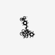 CC1(C)O[C@H](c2ccccc2)[C@@](CCC=Cc2ccc([N+](=O)[O-])cc2)(C(C)(C)C)N1C(=O)O